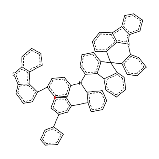 c1ccc(-c2cccc(-c3ccccc3N(c3ccc(-c4cccc5sc6ccccc6c45)cc3)c3cccc4c3-c3ccccc3C43c4ccccc4-n4c5ccccc5c5cccc3c54)c2)cc1